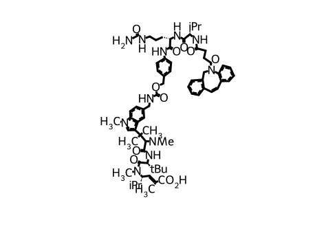 CNC(C(=O)N[C@H](C(=O)N(C)[C@H](/C=C(\C)C(=O)O)C(C)C)C(C)(C)C)C(C)(C)c1cn(C)c2ccc(CNC(=O)OCc3ccc(NC(=O)[C@H](CCCNC(N)=O)NC(=O)[C@@H](NC(=O)CCC(=O)N4Cc5ccccc5/C=C\c5ccccc54)C(C)C)cc3)cc12